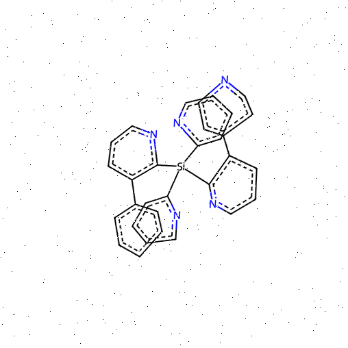 c1ccc(-c2cccnc2[Si](c2ccccn2)(c2ccccn2)c2ncccc2-c2ccncc2)cc1